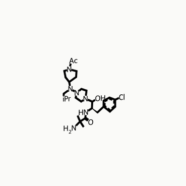 CC(=O)N1CCC(N(CC(C)C)N2CCN(C(O)[C@@H](Cc3ccc(Cl)cc3)NC(=O)C(C)(C)N)CC2)CC1